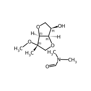 CN(C)C=O.CO[C@@]1(C)CO[C@@H]2[C@H](O)CO[C@@H]21